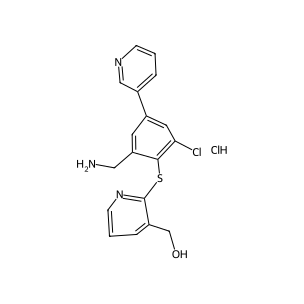 Cl.NCc1cc(-c2cccnc2)cc(Cl)c1Sc1ncccc1CO